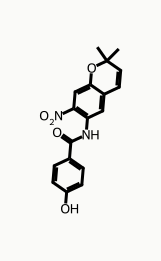 CC1(C)C=Cc2cc(NC(=O)c3ccc(O)cc3)c([N+](=O)[O-])cc2O1